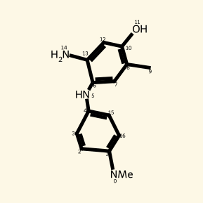 CNc1ccc(Nc2cc(C)c(O)cc2N)cc1